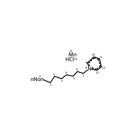 CCCCCCCCCCCCCCCC[n+]1ccccc1.Cl.[Mn]